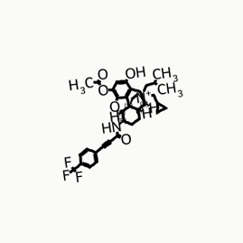 CC(=O)Oc1cc(O)c2c3c1O[C@H]1[C@H](NC(=O)C#Cc4ccc(C(F)(F)F)cc4)CC[C@H]4[C@@H](C2)[N+](CC(C)C)(CC2CC2)CC[C@@]341